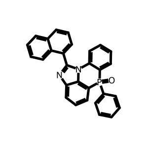 O=P1(c2ccccc2)c2ccccc2-n2c(-c3cccc4ccccc34)nc3cccc1c32